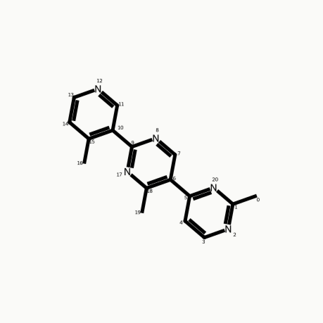 Cc1nccc(-c2cnc(-c3cnccc3C)nc2C)n1